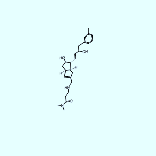 Cc1cccc(C[C@@H](O)/C=C/[C@@H]2[C@H]3CC(CNCCC(=O)N(C)C)=C[C@H]3C[C@H]2O)c1